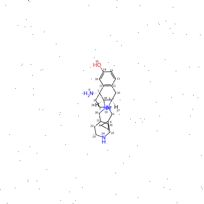 N[C@]12CCN(CC3CC3)[C@H](Cc3ccc(O)cc31)[C@H]2NCC1CCNCC1